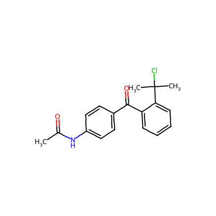 CC(=O)Nc1ccc(C(=O)c2ccccc2C(C)(C)Cl)cc1